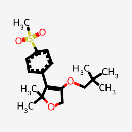 CC(C)(C)COC1=C(c2ccc(S(C)(=O)=O)cc2)C(C)(C)OC1